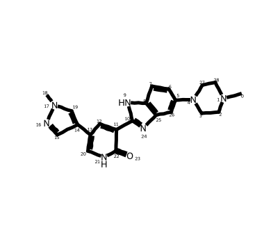 CN1CCN(c2ccc3[nH]c(-c4cc(-c5cnn(C)c5)c[nH]c4=O)nc3c2)CC1